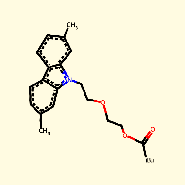 CCC(C)C(=O)OCCOCCn1c2cc(C)ccc2c2ccc(C)cc21